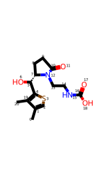 Cc1csc(C(O)[C@@H]2CCC(=O)N2CCNC(=O)O)c1C